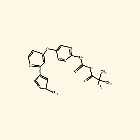 Cn1cc(-c2cc(Oc3cnc(NC(=O)NC(=O)C(C)(C)C)nc3)ccn2)cn1